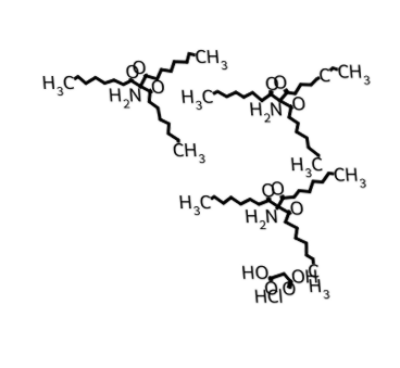 CCCCCCCC(=O)C(N)(C(=O)CCCCCCC)C(=O)CCCCCCC.CCCCCCCC(=O)C(N)(C(=O)CCCCCCC)C(=O)CCCCCCC.CCCCCCCC(=O)C(N)(C(=O)CCCCCCC)C(=O)CCCCCCC.Cl.O=C(O)CC(=O)O